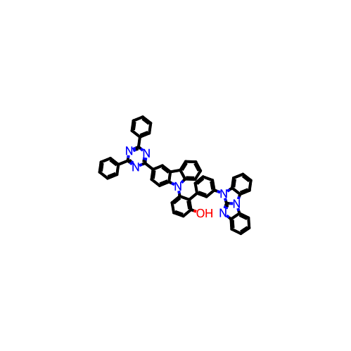 Oc1cccc(-n2c3ccccc3c3cc(-c4nc(-c5ccccc5)nc(-c5ccccc5)n4)ccc32)c1-c1cccc(-n2c3ccccc3n3c4ccccc4nc23)c1